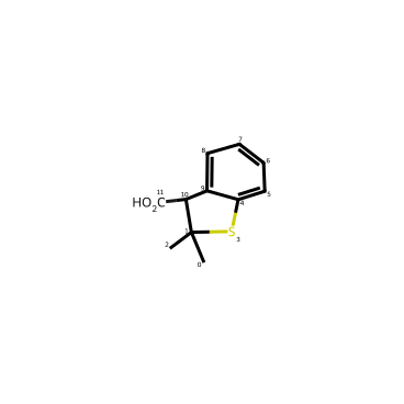 CC1(C)Sc2ccccc2C1C(=O)O